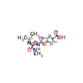 CSC(C)=NOC(=O)N(C)SN(C)C(=O)Oc1ccc(C(=O)O)cc1